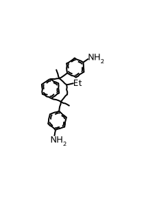 CCC1CC(C)(c2ccc(N)cc2)c2ccc(cc2)C1(C)c1ccc(N)cc1